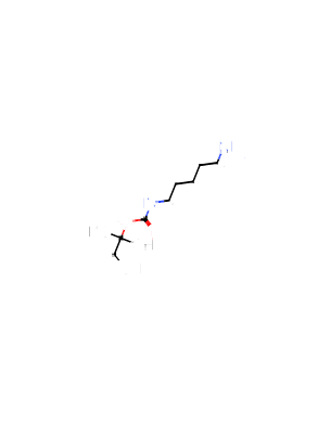 CCC(C)(C)OC(=O)NCCCCCN